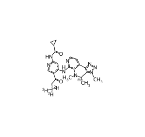 [2H]C([2H])([2H])CC(=O)c1cnc(NC(=O)C2CC2)cc1Nc1nccc2c1N(C)[C@H](C)c1c-2nnn1C